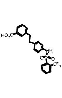 O=C(O)c1cccc(CCc2ccc(NS(=O)(=O)c3ccccc3C(F)(F)F)cc2)c1